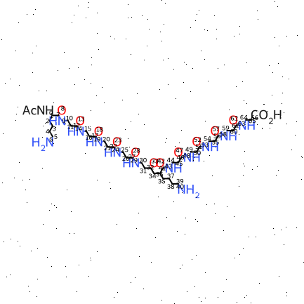 CC(=O)NC(CCCCN)C(=O)NCCC(=O)NCCC(=O)NCCC(=O)NCCC(=O)NCCC(=O)CC(CCCCN)C(=O)NCCC(=O)NCCC(=O)NCCC(=O)NCCC(=O)NCCC(=O)O